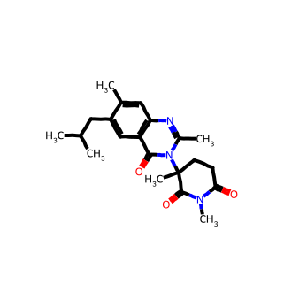 Cc1cc2nc(C)n(C3(C)CCC(=O)N(C)C3=O)c(=O)c2cc1CC(C)C